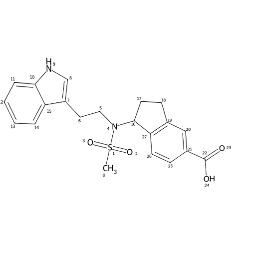 CS(=O)(=O)N(CCc1c[nH]c2ccccc12)C1CCc2cc(C(=O)O)ccc21